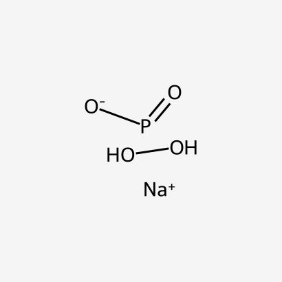 O=P[O-].OO.[Na+]